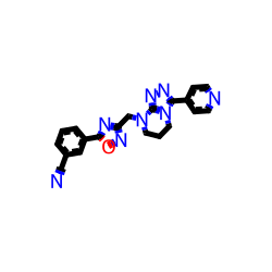 N#Cc1cccc(-c2nc(CN3CCCn4c(-c5ccncc5)nnc43)no2)c1